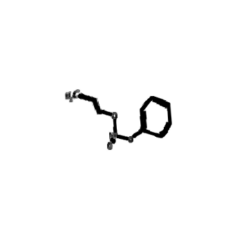 CCCO[PH](=O)Oc1ccccc1